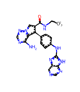 Nc1ncnn2cc(C(=O)NCC(F)(F)F)c(-c3ccc(Nc4nc5cncnc5[nH]4)cc3)c12